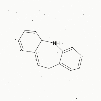 [C]1=CC=CC2Nc3ccccc3CC=C12